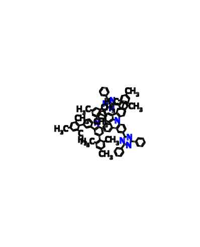 Cc1cc(C)c(-c2ccc3c(c2)c2cc(-c4c(C)cc(C)cc4C)ccc2n3-c2ccc(-c3nc(-c4ccccc4)nc(-c4ccccc4)n3)cc2-c2cccc(-c3cc(-c4nc(-c5ccccc5)nc(-c5ccccc5)n4)ccc3-n3c4ccc(-c5c(C)cc(C)cc5C)cc4c4cc(-c5c(C)cc(C)cc5C)ccc43)c2)c(C)c1